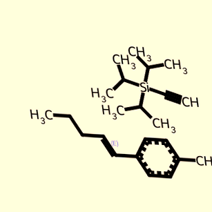 C#C[Si](C(C)C)(C(C)C)C(C)C.CCC/C=C/c1ccc(C)cc1